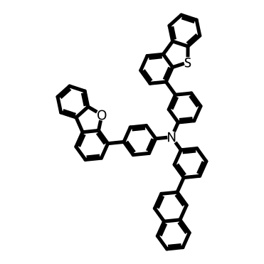 c1cc(-c2ccc3ccccc3c2)cc(N(c2ccc(-c3cccc4c3oc3ccccc34)cc2)c2cccc(-c3cccc4c3sc3ccccc34)c2)c1